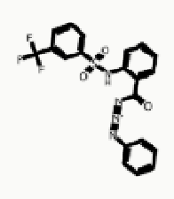 O=C(N=[N+]=Nc1ccccc1)c1ccccc1NS(=O)(=O)c1cccc(C(F)(F)F)c1